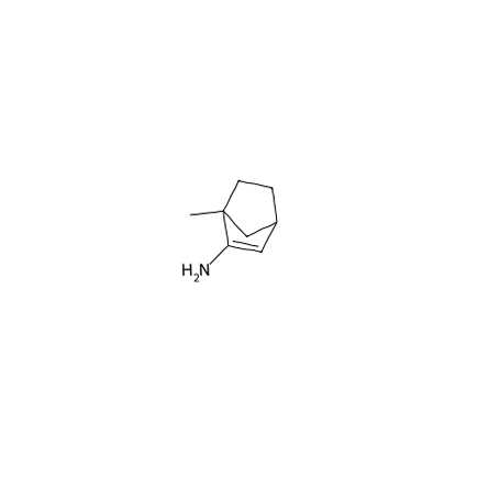 CC12CCC(C=C1N)C2